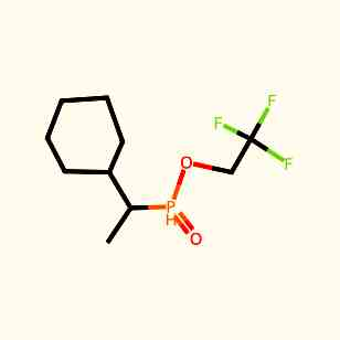 CC(C1CCCCC1)[PH](=O)OCC(F)(F)F